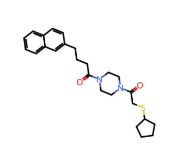 O=C(CCCc1ccc2ccccc2c1)N1CCN(C(=O)CSC2CCCC2)CC1